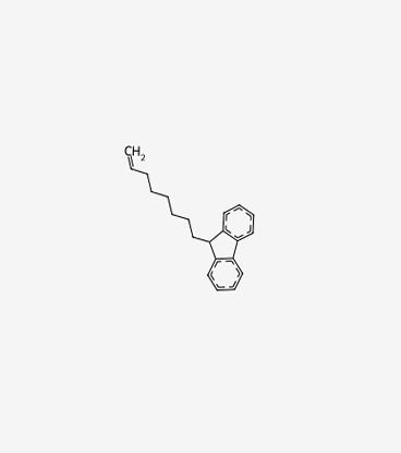 C=CCCCCCCC1c2ccccc2-c2ccccc21